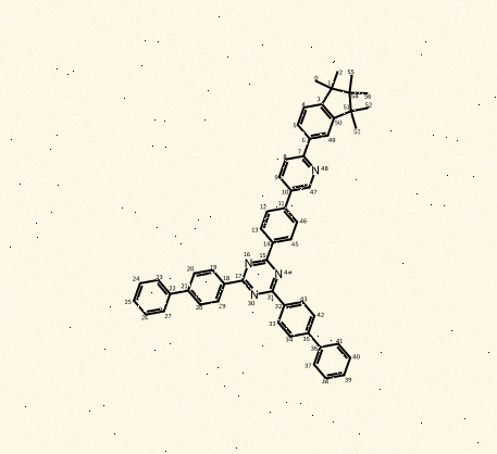 CC1(C)c2ccc(-c3ccc(-c4ccc(-c5nc(-c6ccc(-c7ccccc7)cc6)nc(-c6ccc(-c7ccccc7)cc6)n5)cc4)cn3)cc2C(C)(C)C1(C)C